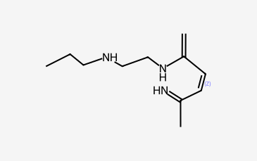 C=C(/C=C\C(C)=N)NCCNCCC